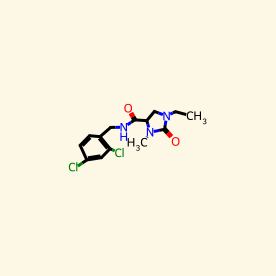 CCN1CC(C(=O)NCc2ccc(Cl)cc2Cl)N(C)C1=O